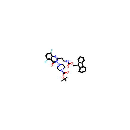 CC(C)(C)OC(=O)N1CCN(n2c(CCNC(=O)OCC3c4ccccc4-c4ccccc43)nc3c(F)ccc(F)c3c2=O)CC1